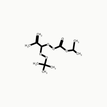 C=C(C)C(OOC(=O)OC(C)C)OOC(C)(C)C